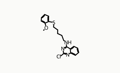 COc1ccccc1SCCCCCNc1nc(Cl)nc2ccccc12